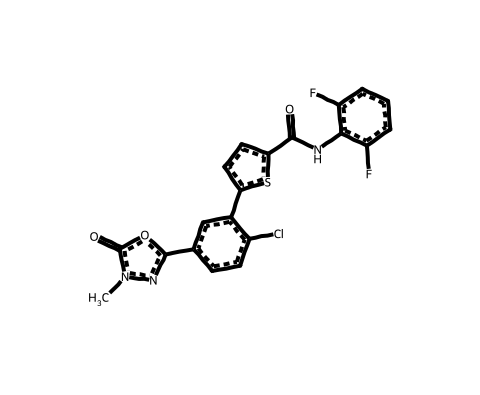 Cn1nc(-c2ccc(Cl)c(-c3ccc(C(=O)Nc4c(F)cccc4F)s3)c2)oc1=O